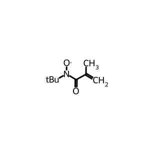 C=C(C)C(=O)N([O])C(C)(C)C